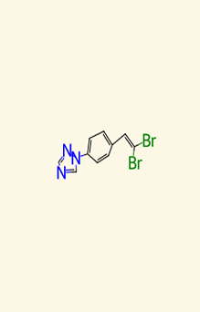 BrC(Br)=Cc1ccc(-n2cncn2)cc1